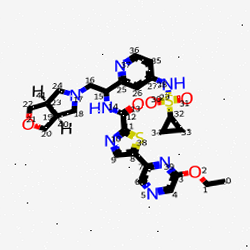 CCOc1cncc(-c2cnc(C(=O)NC(CN3C[C@H]4COC[C@H]4C3)c3cc(NS(=O)(=O)C4CC4)ccn3)s2)n1